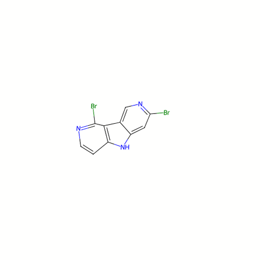 Brc1cc2[nH]c3ccnc(Br)c3c2cn1